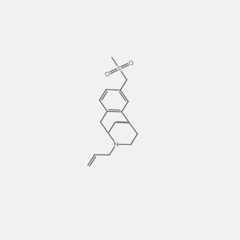 C=CCN1CCC23CCCCC2C1Cc1ccc(CS(C)(=O)=O)cc13